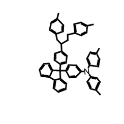 Cc1ccc(CCC(Cc2ccc(C)cc2)c2ccc(C3(c4ccc(N(c5ccc(C)cc5)c5ccc(C)cc5)cc4)c4ccccc4-c4ccccc43)cc2)cc1